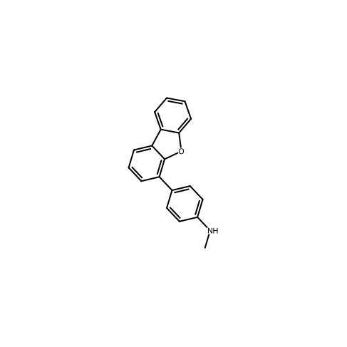 CNc1ccc(-c2cccc3c2oc2ccccc23)cc1